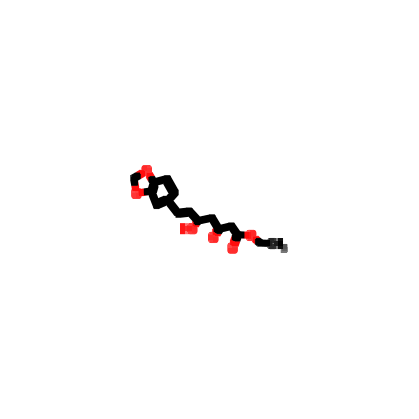 CCOC(=O)CC(=O)CC(O)/C=C/c1ccc2c(c1)OCO2